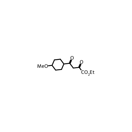 CCOC(=O)C(=O)CC(=O)C1CCC(OC)CC1